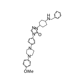 COc1ccc(N2CCN(c3ccc(-n4cnn(C5CCC(NCc6ccccc6)CC5)c4=O)cc3)CC2)cc1